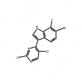 Fc1c(Br)ccc2c(-c3nc(Cl)ncc3Cl)c[nH]c12